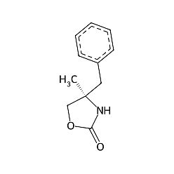 C[C@@]1(Cc2ccccc2)COC(=O)N1